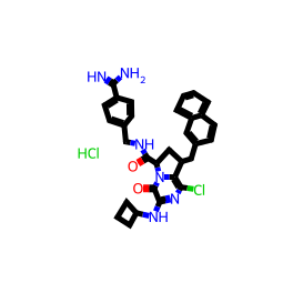 Cl.N=C(N)c1ccc(CNC(=O)C2CC(Cc3ccc4ccccc4c3)c3c(Cl)nc(NC4CCC4)c(=O)n32)cc1